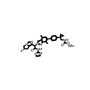 Cc1cc(-c2ccc(C3(CNC(=O)OC(C)(C)C)CC3)cc2)c(C)c2nn(C(C(=O)Nc3nccs3)c3ncn4c3C[C@@H](F)C4)cc12